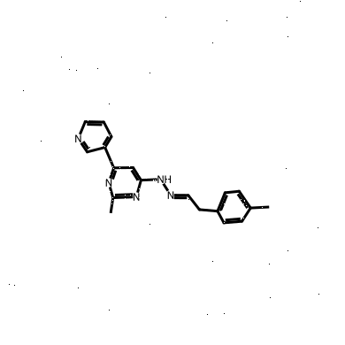 Cc1ccc(CC=NNc2cc(-c3cccnc3)nc(C)n2)cc1